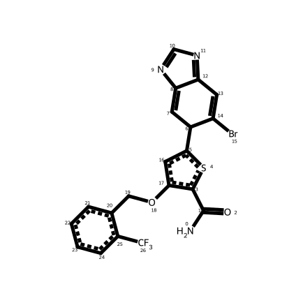 NC(=O)c1sc(C2C=C3N=CN=C3C=C2Br)cc1OCc1ccccc1C(F)(F)F